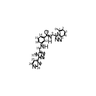 Cc1cccc2nnc(CNC(=O)c3cccc(NCc4nnc(-c5ccncn5)n4C)c3)n12